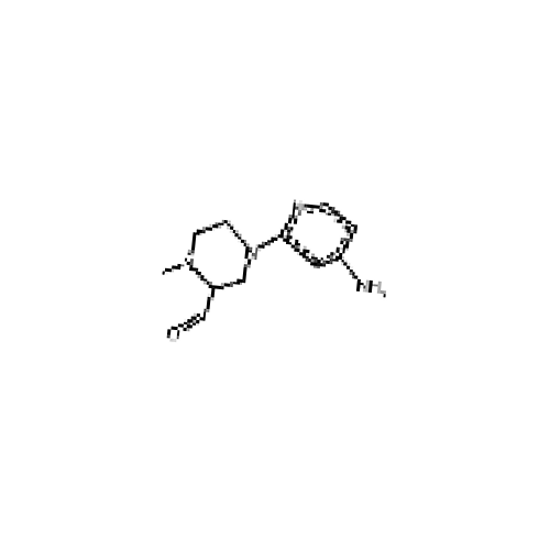 CN1CCN(c2cc(N)ccn2)CC1C=O